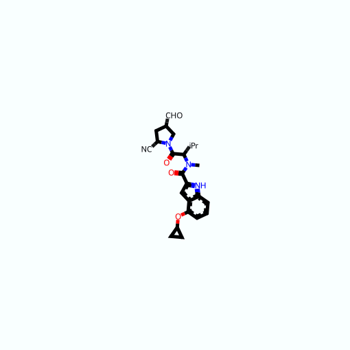 CC(C)C(C(=O)N1CC(C=O)CC1C#N)N(C)C(=O)c1cc2c(OC3CC3)cccc2[nH]1